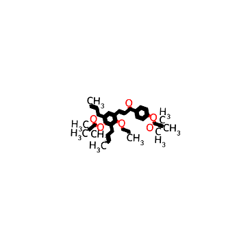 CC=CCc1cc(C=CC(=O)c2ccc(OC(=O)C(C)(C)C)cc2)c(OCCC)c(CC=CC)c1OC(=O)C(C)(C)C